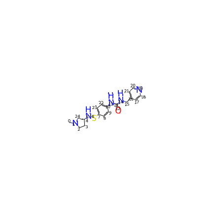 CN1CCC(NSc2ccc(NC(=O)NCc3ccncc3)cc2)C1